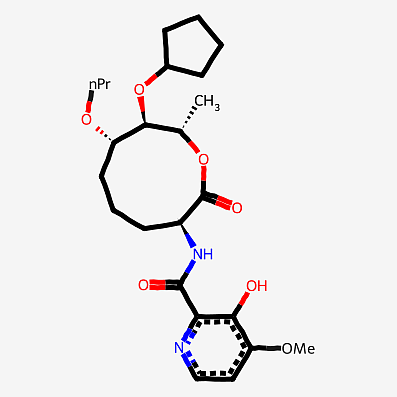 CCCO[C@H]1CCC[C@H](NC(=O)c2nccc(OC)c2O)C(=O)O[C@@H](C)[C@@H]1OC1CCCC1